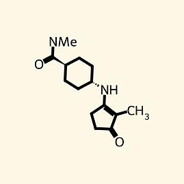 CNC(=O)[C@H]1CC[C@H](NC2=C(C)C(=O)CC2)CC1